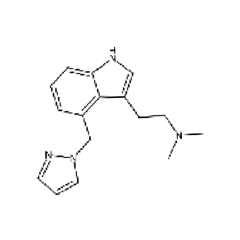 CN(C)CCc1c[nH]c2cccc(Cn3cccn3)c12